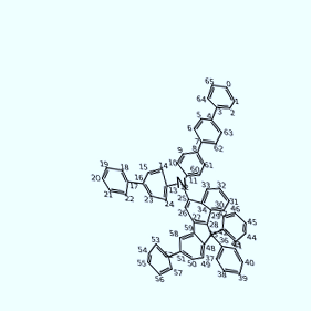 c1ccc(-c2ccc(-c3ccc(N(c4ccc(-c5ccccc5)cc4)c4cc5c(c6ccccc46)C(c4ccccc4)(c4ccccc4)c4ccc(-c6ccccc6)cc4-5)cc3)cc2)cc1